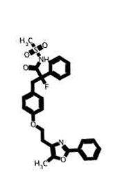 Cc1oc(-c2ccccc2)nc1CCOc1ccc(CC(F)(C(=O)NS(C)(=O)=O)c2ccccc2)cc1